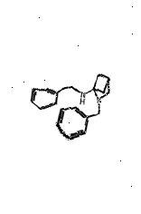 c1ccc(CNC23CC(CN2Cc2ccccc2)C3)cc1